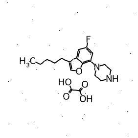 CCCCCc1coc2c(N3CCNCC3)cc(F)cc12.O=C(O)C(=O)O